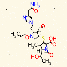 C=CCON1C[C@@H](SC2=C(C(=O)O)N3C(=O)[C@H]([C@@H](C)O)[C@H]3[C@H]2C)C(=C=O)[C@H]1CCn1cnc(CC(N)=O)c1